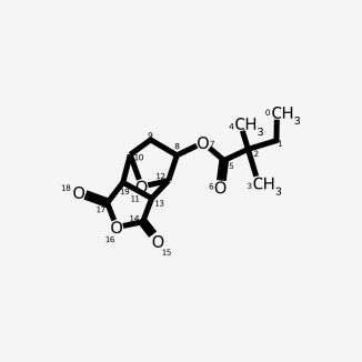 CCC(C)(C)C(=O)OC1CC2OC1C1C(=O)OC(=O)C21